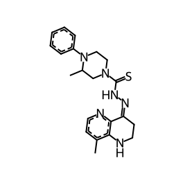 Cc1ccnc2c1NCC/C2=N/NC(=S)N1CCN(c2ccccc2)C(C)C1